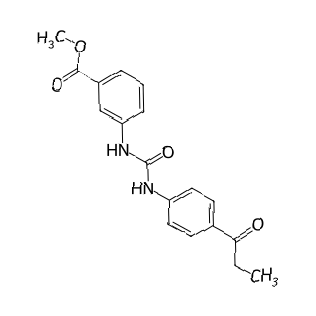 CCC(=O)c1ccc(NC(=O)Nc2cccc(C(=O)OC)c2)cc1